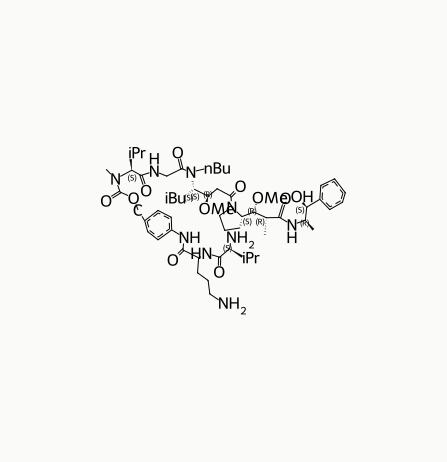 CCCCN(C(=O)CNC(=O)[C@H](C(C)C)N(C)C(=O)OCc1ccc(NC(=O)C(CCCN)NC(=O)[C@@H](N)C(C)C)cc1)[C@@H]([C@@H](C)CC)[C@@H](CC(=O)N1CCC[C@H]1[C@H](OC)[C@@H](C)C(=O)N[C@H](C)[C@@H](O)c1ccccc1)OC